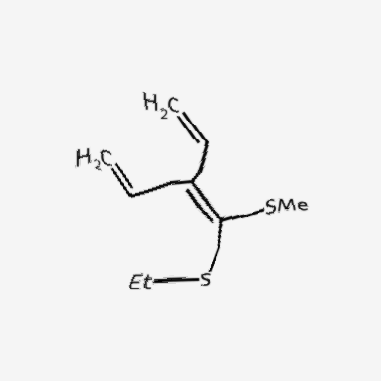 C=CC(C=C)=C(SC)SCC